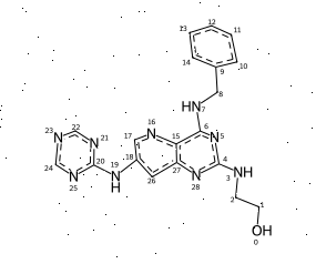 OCCNc1nc(NCc2ccccc2)c2ncc(Nc3ncncn3)cc2n1